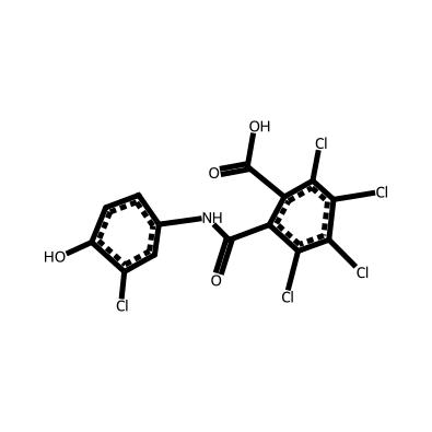 O=C(O)c1c(Cl)c(Cl)c(Cl)c(Cl)c1C(=O)Nc1ccc(O)c(Cl)c1